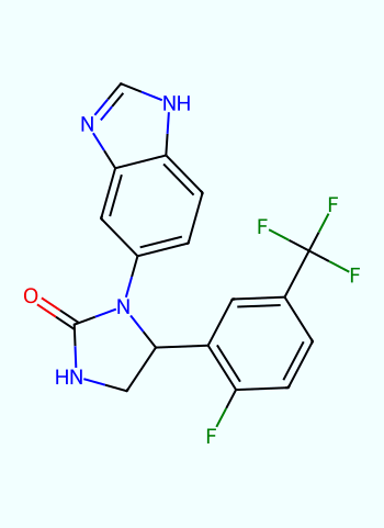 O=C1NCC(c2cc(C(F)(F)F)ccc2F)N1c1ccc2[nH]cnc2c1